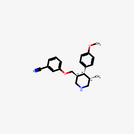 COc1ccc([C@H]2[C@H](COc3cccc(C#N)c3)CNC[C@H]2C)cc1